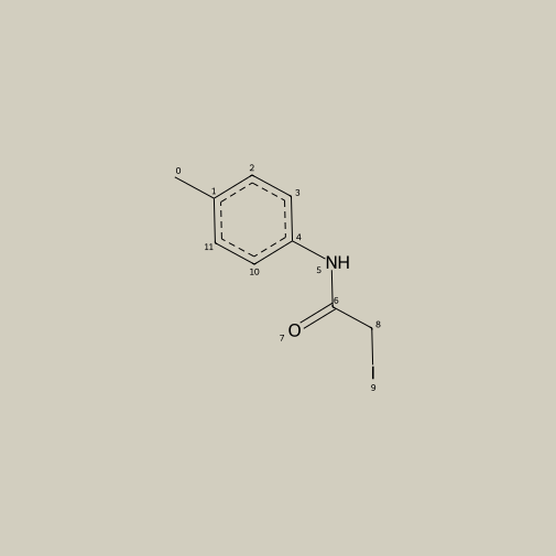 Cc1ccc(NC(=O)CI)cc1